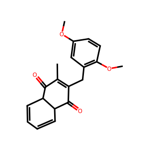 COc1ccc(OC)c(CC2=C(C)C(=O)C3C=CC=CC3C2=O)c1